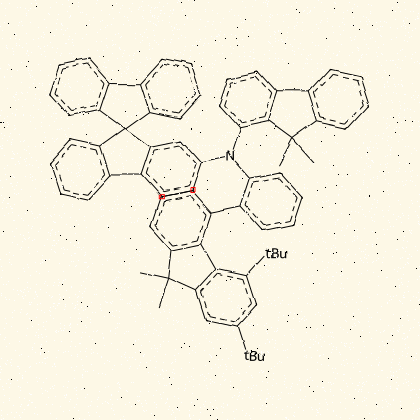 CC(C)(C)c1cc(C(C)(C)C)c2c(c1)C(C)(C)c1cccc(-c3ccccc3N(c3ccc4c(c3)C3(c5ccccc5-c5ccccc53)c3ccccc3-4)c3cccc4c3C(C)(C)c3ccccc3-4)c1-2